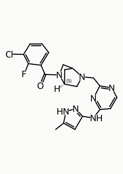 Cc1cc(Nc2ccnc(CN3C[C@@H]4CC3CN4C(=O)c3cccc(Cl)c3F)n2)n[nH]1